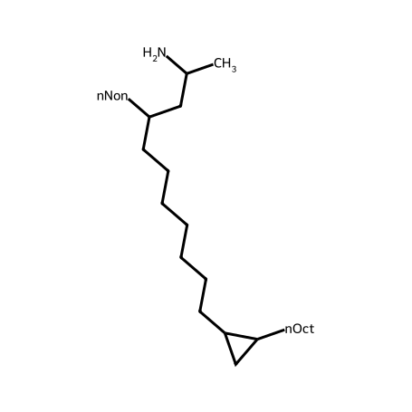 CCCCCCCCCC(CCCCCCCC1CC1CCCCCCCC)CC(C)N